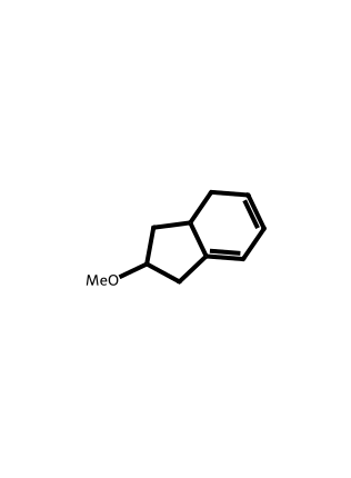 COC1CC2=CC=CCC2C1